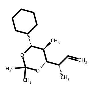 C=C[C@H](C)[C@@H]1OC(C)(C)O[C@H](C2CCCCC2)[C@H]1C